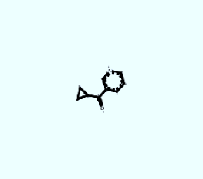 O=C(c1cccnc1)C1CC1